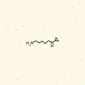 NCCCCCNC1CC1